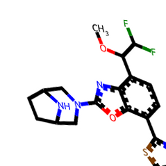 COC(c1ccc(-c2nccs2)c2oc(N3CC4CCC(C3)N4)nc12)C(F)F